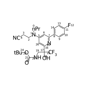 CCCN(CCC#N)c1cc(-c2ccc(F)cc2)nc(C(O)(CNC(=O)OC(C)(C)C)C(F)(F)F)c1